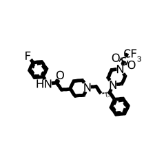 O=C(CC1CCN(CC[C@@H](c2ccccc2)N2CCN(S(=O)(=O)C(F)(F)F)CC2)CC1)Nc1ccc(F)cc1